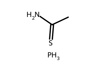 CC(N)=S.P